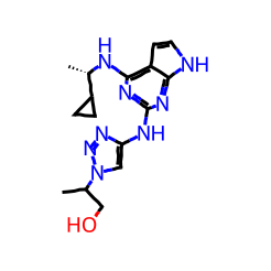 CC(CO)n1cc(Nc2nc(N[C@@H](C)C3CC3)c3cc[nH]c3n2)nn1